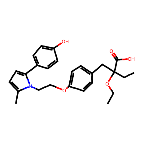 CCOC(CC)(Cc1ccc(OCCn2c(C)ccc2-c2ccc(O)cc2)cc1)C(=O)O